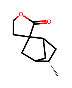 C[C@H]1CC2CC1CC21CCOC1=O